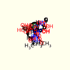 CN[C@H](CC(C)C)C(=O)N[C@H]1C(=O)NC(C(=O)NC(=O)COCCOC)C(=O)N[C@H]2C(=O)N[C@H]3C(=O)N[C@H](C(=O)N[C@H](C(=O)NC4C5CC6CC(C5)CC4C6)c4cc(O)cc(O)c4-c4cc3ccc4O)[C@H](O)c3ccc(c(Cl)c3)Oc3cc2cc(c3O[C@@H]2O[C@H](CO)[C@@H](O)[C@H](O)[C@H]2O[C@H]2C[C@](C)(N)[C@H](O)[C@H](C)O2)Oc2ccc(cc2C)[C@H]1O